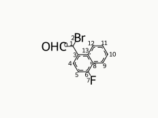 O=CC(Br)c1ccc(F)c2ccccc12